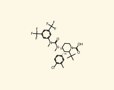 Cc1cc([C@H]2C(C(C)(C)C)N(C(=O)O)CC[C@H]2N(C)C(=O)N(C)c2cc(C(F)(F)F)cc(C(F)(F)F)c2)ccc1Cl